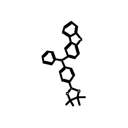 CC1(C)OB(c2ccc(N(c3ccccc3)c3ccc4sc5ccccc5c4c3)cc2)OC1(C)C